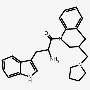 NC(Cc1c[nH]c2ccccc12)C(=O)N1CC(CN2CCCC2)Cc2ccccc21